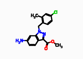 COC(=O)c1nn(Cc2ccc(Cl)cc2C)c2cc(N)ccc12